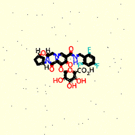 O=C(NCc1c(F)cc(F)cc1F)c1cn2c(c(O[C@@H]3O[C@H](C(=O)O)[C@@H](O)[C@H](O)[C@H]3O)c1=O)C(=O)N1[C@H]3CC[C@H](C3)O[C@@H]1C2